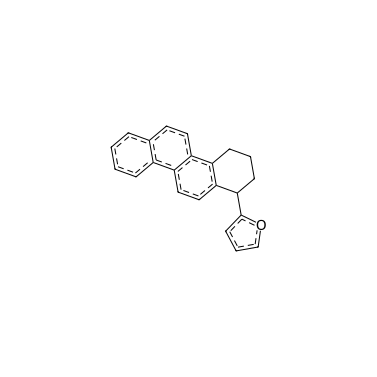 c1coc(C2CCCc3c2ccc2c3ccc3ccccc32)c1